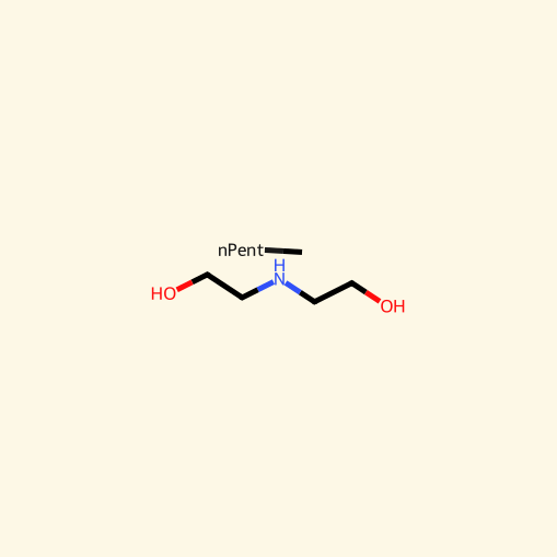 CCCCCC.OCCNCCO